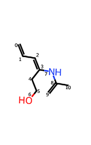 C=C/C=C(\CCO)NC(=C)C